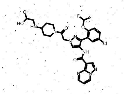 O=C(Nc1cn(CC(=O)N2CCC(NCC(O)O)CC2)nc1-c1cc(Cl)ccc1OC(F)F)c1cnn2cccnc12